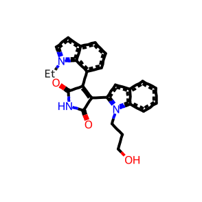 CCn1ccc2cccc(C3=C(c4cc5ccccc5n4CCCO)C(=O)NC3=O)c21